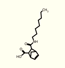 CCCCCCCCNC(=O)C1C2C=CC(C2)C1C(=O)O